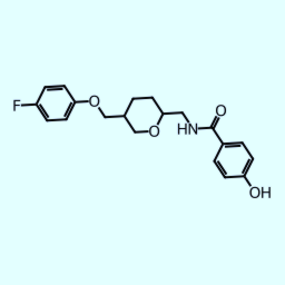 O=C(NCC1CCC(COc2ccc(F)cc2)CO1)c1ccc(O)cc1